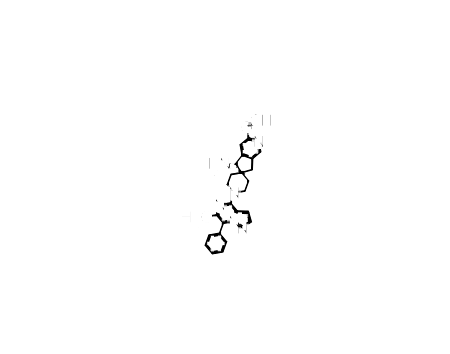 COc1cc2c(cn1)CC1(CCN(c3nc(C)c(-c4ccccc4)n4nccc34)CC1)[C@@H]2N